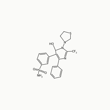 NS(=O)(=O)c1cccc(C2=C(c3ccccc3)N=C(C(F)(F)F)N(N3CCSC3)C2O)c1